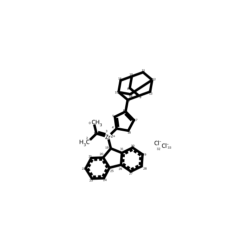 C[C](C)=[Zr+2]([C]1=CC(C2C3CC4CC(C3)CC2C4)=CC1)[CH]1c2ccccc2-c2ccccc21.[Cl-].[Cl-]